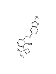 Cc1cc2cc(OCC3=CC=CN(C4(C(N)=O)CCC4)C3O)ccc2o1